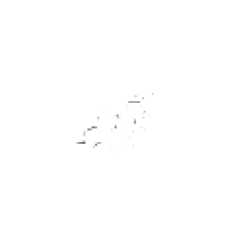 C[C@@H]1C[C@H]2[C@@H]3C[C@H](F)C4=C(F)C(=O)C=C[C@]4(C)[C@@]3(F)[C@@H](O)C[C@]2(C)[C@@]1(O)C(=O)O